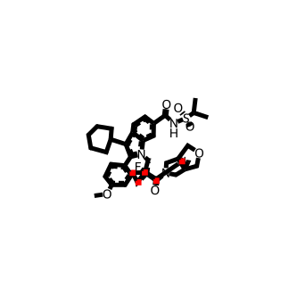 COc1ccc(-c2c(C3CCCCC3)c3ccc(C(=O)NS(=O)(=O)C(C)C)cc3n2CC2(C(=O)N3CC45COCC4(CN(CC(F)(F)F)C5)C3)CC2)cc1